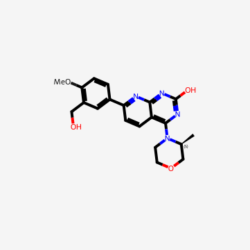 COc1ccc(-c2ccc3c(N4CCOC[C@@H]4C)nc(O)nc3n2)cc1CO